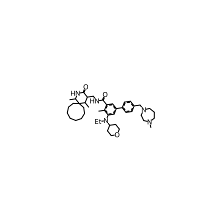 CCN(c1cc(-c2ccc(CN3CCCN(C)CC3)cc2)cc(C(=O)NCC2C(=O)NC(C)C3(CCCCCCCC3)C2C)c1C)C1CCOCC1